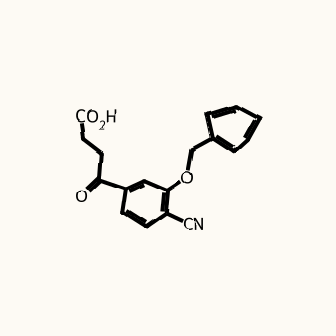 N#Cc1ccc(C(=O)CCC(=O)O)cc1OCc1ccccc1